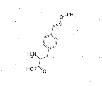 CO/N=C/c1ccc(CC(N)C(=O)O)cc1